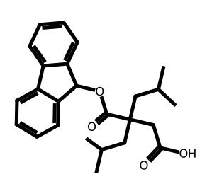 CC(C)CC(CC(=O)O)(CC(C)C)C(=O)OC1c2ccccc2-c2ccccc21